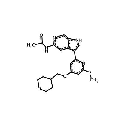 CSc1cc(OCC2CCOCC2)cc(-c2c[nH]c3cnc(NC(C)=O)cc23)n1